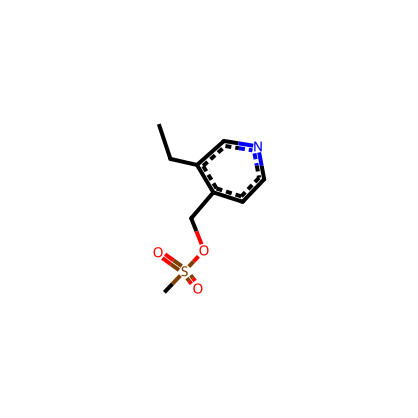 CCc1cnccc1COS(C)(=O)=O